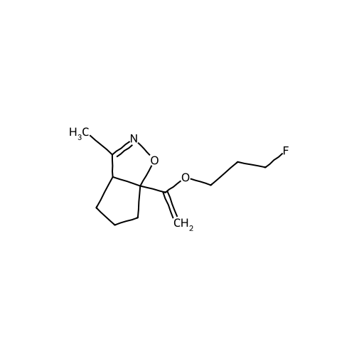 C=C(OCCCF)C12CCCC1C(C)=NO2